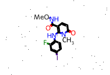 CONC(=O)c1ccc(=O)n(C)c1Nc1ccc(I)cc1F